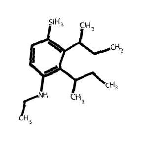 CCNc1ccc([SiH3])c(C(C)CC)c1C(C)CC